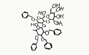 CC1O[C@@H](OC2C(O)[C@H](OCc3ccccc3)OC(CO)[C@H]2O[C@@H]2OC(CO)[C@H](O)C(O)C2O)C(OCc2ccccc2)C(OCc2ccccc2)[C@H]1OCc1ccccc1